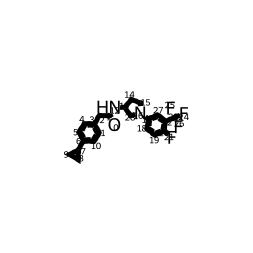 O=C(Cc1ccc(C2CC2)cc1)NC1CCN(c2ccc(F)c(C(F)(F)F)c2)C1